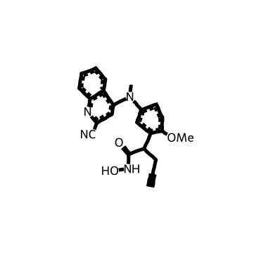 C#CCC(C(=O)NO)c1cc(N(C)c2cc(C#N)nc3ccccc23)ccc1OC